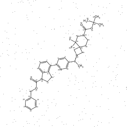 CC(c1ccc(-c2cccc3c2CCN3C(=O)OCc2ccccc2)nc1)N1CC2(CCN(C(=O)OC(C)(C)C)CC2(F)F)C1